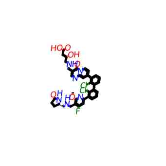 COc1nc(-c2cccc(-c3cccc(-c4ccn5c(=O)c(CNCC(O)CC(=O)O)cnc5c4)c3Cl)c2Cl)cc(F)c1CNC[C@@H]1CCC(=O)N1